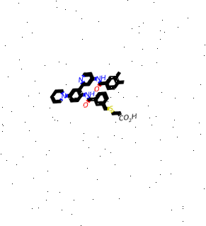 Cc1ccc(C(=O)Nc2ccnc(-c3cc(N4CCCCC4)ccc3NC(=O)c3cccc(CSCCC(=O)O)c3)c2)cc1C